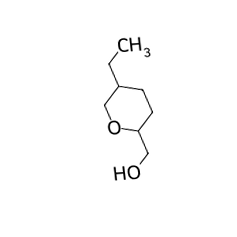 CCC1CCC(CO)OC1